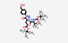 CC(C)C(NC(=O)OC(C)(C)C)C(=O)NC(CCC(=O)OC(C)(C)C)C(=O)Nc1ccc(CO)cc1